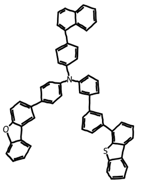 c1cc(-c2cccc(N(c3ccc(-c4ccc5oc6ccccc6c5c4)cc3)c3ccc(-c4cccc5ccccc45)cc3)c2)cc(-c2cccc3c2sc2ccccc23)c1